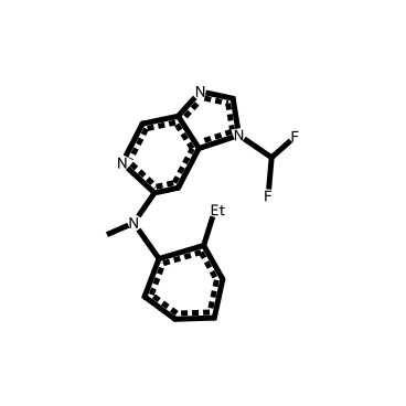 CCc1ccccc1N(C)c1cc2c(cn1)ncn2C(F)F